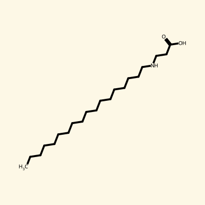 CCCCCCCCCCCCCCCCCCNCCC(=O)O